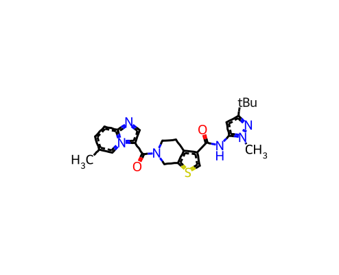 Cc1ccc2ncc(C(=O)N3CCc4c(C(=O)Nc5cc(C(C)(C)C)nn5C)csc4C3)n2c1